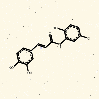 O=C(/C=C/c1ccc(O)c(O)c1)Nc1cc(Cl)ccc1O